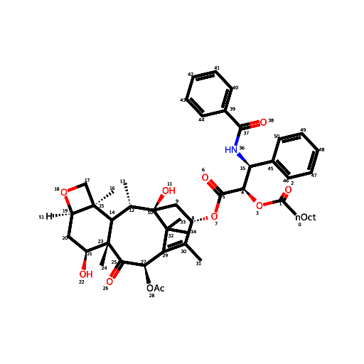 CCCCCCCCC(=O)O[C@@H](C(=O)O[C@H]1C[C@@]2(O)[C@@H](C)C3[C@]4(C)CO[C@@H]4C[C@H](O)[C@@]3(C)C(=O)[C@H](OC(C)=O)C(=C1C)C2(C)C)[C@@H](NC(=O)c1ccccc1)c1ccccc1